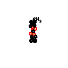 Cc1ccc2c(c1)C1(c3ccccc3-c3ccccc31)c1cc(S(=O)(=O)c3ccc(S(=O)(=O)c4ccc5c(c4)C4(c6ccccc6-c6ccccc64)c4ccccc4-5)cc3)ccc1-2